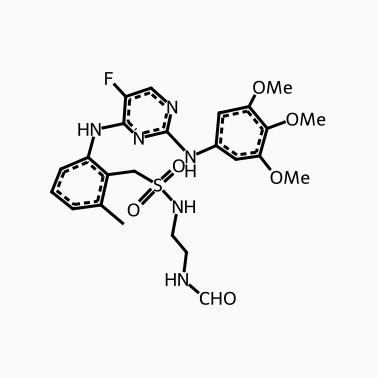 COc1cc(Nc2ncc(F)c(Nc3cccc(C)c3CS(=O)(=O)NCCNC=O)n2)cc(OC)c1OC